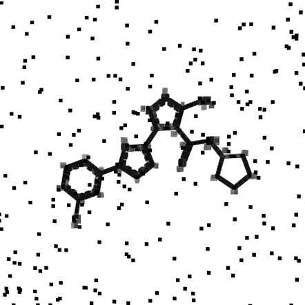 Nc1onc(-c2ccc(-c3cccc(Cl)c3)o2)c1C(=O)NC1CCCC1